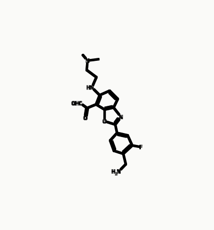 CN(C)CCNc1ccc2nc(-c3ccc(CN)c(F)c3)oc2c1C(=O)C=O